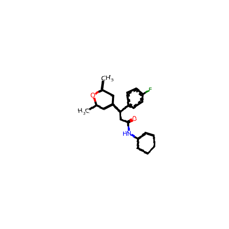 CC1CC(C(CC(=O)NC2CCCCC2)c2ccc(F)cc2)CC(C)O1